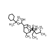 CCC(C)(CC(C)C)C(=O)OC1C2CC(C)CC(O)OC1C2C(O)OC(C)(C)C1CCCCC1